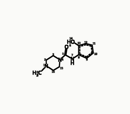 CN1CCN(C(=O)Nc2ccccc2O)CC1